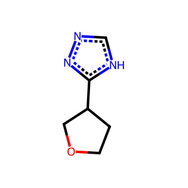 c1nnc(C2CCOC2)[nH]1